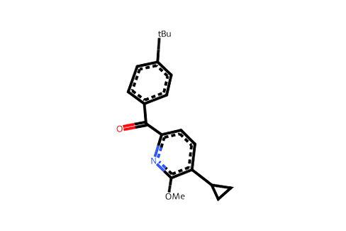 COc1nc(C(=O)c2ccc(C(C)(C)C)cc2)ccc1C1CC1